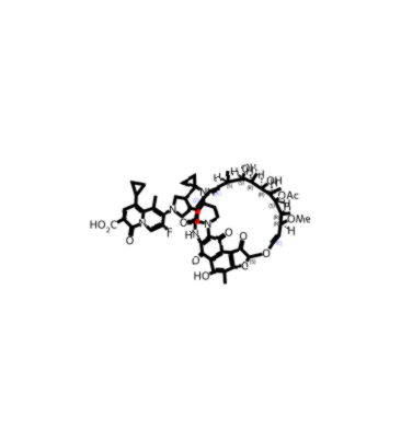 CO[C@H]1/C=C/O[C@@]2(C)Oc3c(C)c(O)c4c(c3C2=O)C(=O)C(N2CCC(NC3(C5CCN(c6c(F)cn7c(=O)c(C(=O)O)cc(C8CC8)c7c6C)C5)CC3)CC2)=C(NC(=O)/C(C)=C\C=C\[C@H](C)[C@H](O)[C@@H](C)[C@@H](O)[C@@H](C)[C@H](OC(C)=O)[C@@H]1C)C4=O